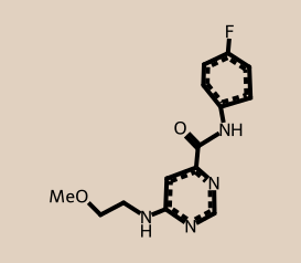 COCCNc1cc(C(=O)Nc2ccc(F)cc2)ncn1